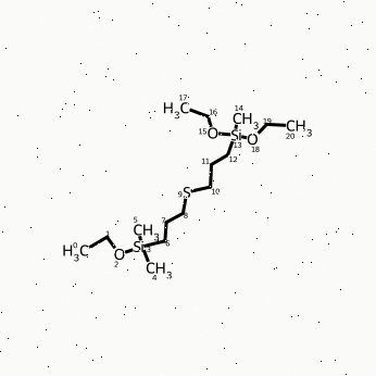 CCO[Si](C)(C)CCCSCCC[Si](C)(OCC)OCC